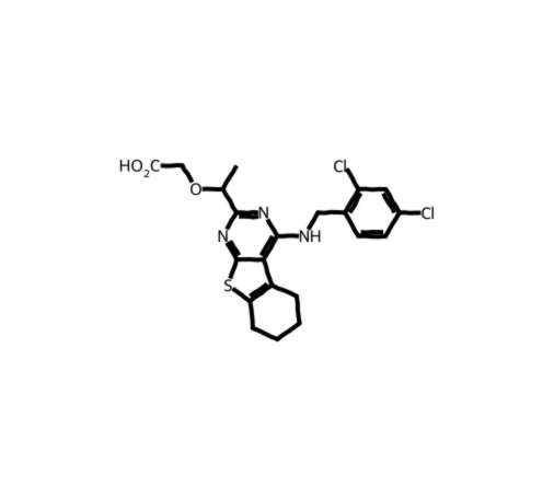 CC(OCC(=O)O)c1nc(NCc2ccc(Cl)cc2Cl)c2c3c(sc2n1)CCCC3